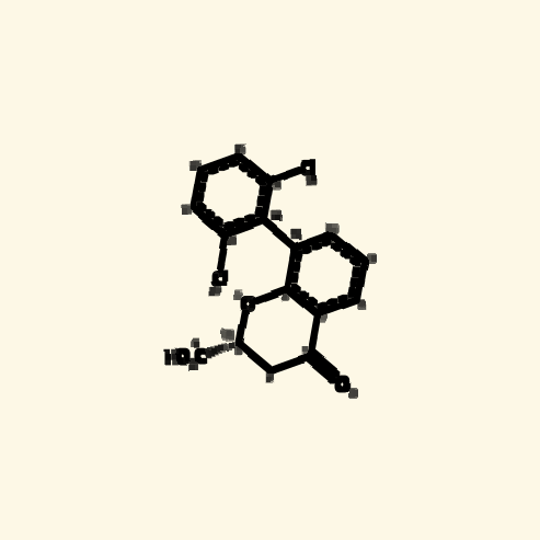 O=C1C[C@H](C(=O)O)Oc2c1cccc2-c1c(Cl)cccc1Cl